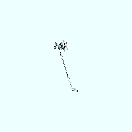 CCCCCCCCCCCCCCCC=CCCCCCCCC(CCC)(P(=O)=O)[N+](C)(C)C